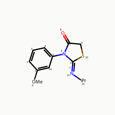 COc1cccc(N2C(=O)CS/C2=N\C(C)C)c1